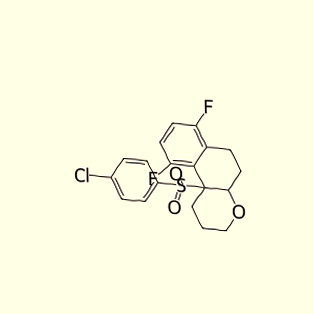 O=S(=O)(c1ccc(Cl)cc1)C12CCCOC1CCc1c(F)ccc(F)c12